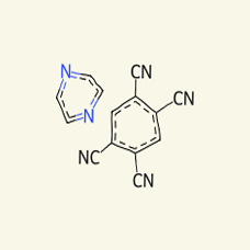 N#Cc1cc(C#N)c(C#N)cc1C#N.c1cnccn1